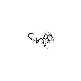 Cc1oc2c(c1C(=O)NCc1ccc(CN3CCCCCC3)o1)C1=NCCN1C=N2